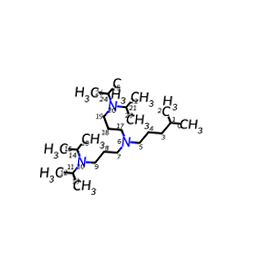 CC(C)CCCN(CCCN(C(C)C)C(C)C)CCCN(C(C)C)C(C)C